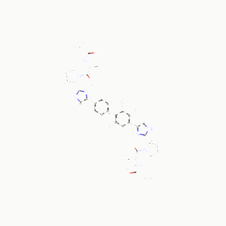 COC(=O)N[C@H](C(=O)N1CCC[C@H]1c1nc(-c2ccc(-c3c(Cl)cc(-c4c[nH]c([C@@H]5CCCN5C(=O)[C@@H](NC(=O)OC)C(C)C)n4)c(C)c3[N+](=O)[O-])cc2)c[nH]1)C(C)C